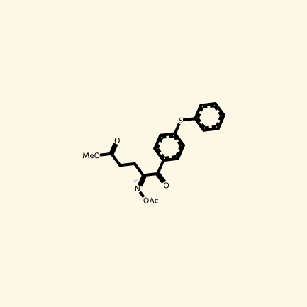 COC(=O)CC/C(=N/OC(C)=O)C(=O)c1ccc(Sc2ccccc2)cc1